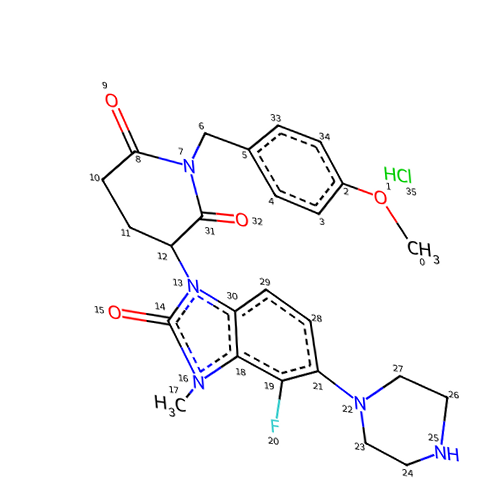 COc1ccc(CN2C(=O)CCC(n3c(=O)n(C)c4c(F)c(N5CCNCC5)ccc43)C2=O)cc1.Cl